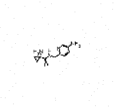 Nc1ccc(CNC(=O)C2(N)CC2)nc1